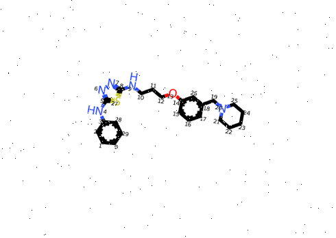 c1ccc(Nc2nnc(NCCCOc3cccc(CN4CCCCC4)c3)s2)cc1